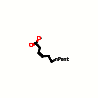 CCCCCCC/C=C\CC([O])=O